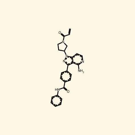 C=CC(=O)N1CCC(n2nc(-c3ccc(C(=O)Nc4ccccc4)cc3)c3c(N)nccc32)C1